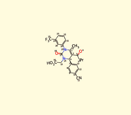 CC1=C(C(=O)C(C)C)[C@@H](c2ccc(C#N)cc2)N(CC(=O)O)C(=O)N1c1cccc(C(F)(F)F)c1